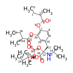 CCC(C)C(=O)Oc1ccc(C[C@](NC(C)C)(OC(=O)OC(C)(C)CC)C(=O)O)cc1OC(=O)C(C)CC